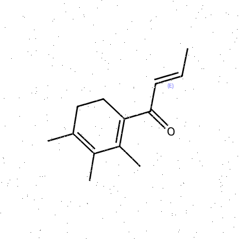 C/C=C/C(=O)C1=C(C)C(C)=C(C)CC1